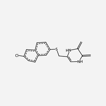 C=C1NC=C(CSc2ccc3cc(Cl)ccc3c2)NC1=C